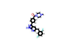 CN1CCN(C(=O)c2ccc(-c3n[nH]c4ncc(Cc5cc(F)ccc5F)cc34)cc2)CC1